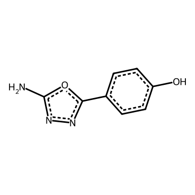 Nc1nnc(-c2ccc(O)cc2)o1